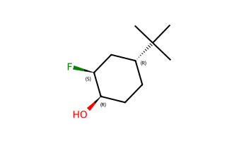 CC(C)(C)[C@@H]1CC[C@@H](O)[C@@H](F)C1